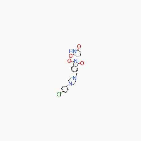 O=C1CCC(N2C(=O)c3ccc(CN4CCN(c5ccc(Cl)cc5)CC4)cc3C2=O)C(=O)N1